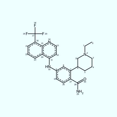 CCN1CCCC(c2cc(Nc3ccnc4c(C(F)(F)F)cccc34)ccc2C(N)=O)C1